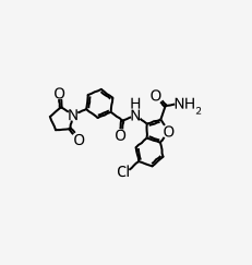 NC(=O)c1oc2ccc(Cl)cc2c1NC(=O)c1cccc(N2C(=O)CCC2=O)c1